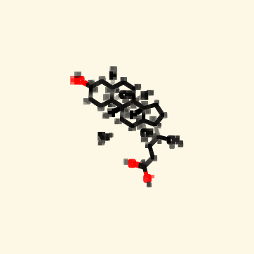 CC(CCC(=O)[O-])[C@H]1CC[C@H]2[C@@H]3CC[C@@H]4C[C@H](O)CC[C@]4(C)[C@H]3CC[C@]12C.[Na+]